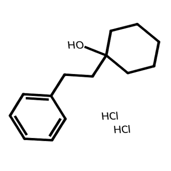 Cl.Cl.OC1(CCc2ccccc2)CCCCC1